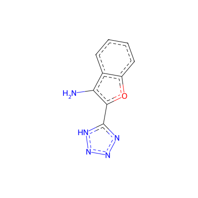 Nc1c(-c2nnn[nH]2)oc2ccccc12